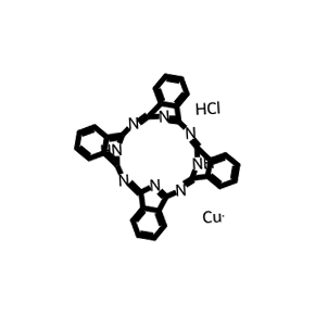 Cl.[Cu].c1ccc2c(c1)-c1nc-2nc2[nH]c(nc3nc(nc4[nH]c(n1)c1ccccc41)-c1ccccc1-3)c1ccccc21